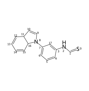 S=CNc1cccc(N2C=CC3C=CC=CC32)c1